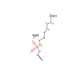 C=CCS(=O)(=O)OCCCCCCCCCCCCCC.[NaH]